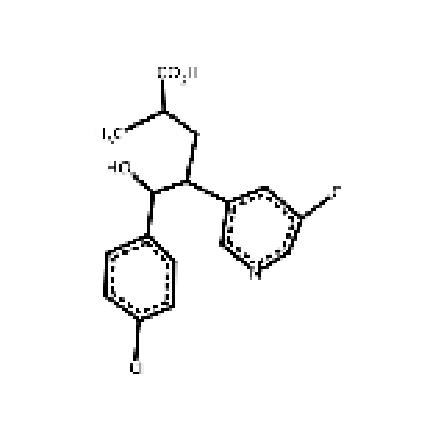 CC(CC(c1cncc(Cl)c1)C(O)c1ccc(Cl)cc1)C(=O)O